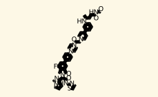 CC(CCC(=O)NC=O)Nc1cccc(C2CCN(CC(=O)N3CCN(c4ccc(-c5cc(F)c6c(c5)C(=O)N(C(C(=O)Nc5nccs5)c5ncn7c5CCC7)C6)cc4)CC3)CC2)c1